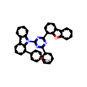 Cc1ccc(-c2cccc3c4ccccc4n(-c4nc(-c5ccccc5)nc(-c5cccc6c5oc5ccccc56)n4)c23)cc1